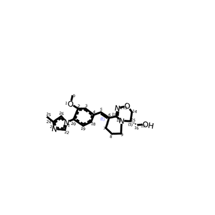 COc1cc(/C=C2\CCCN3C2=NOC[C@@H]3CO)ccc1-n1cnc(C)c1